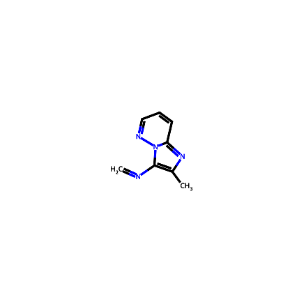 C=Nc1c(C)nc2cccnn12